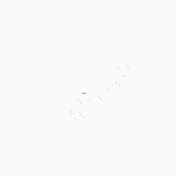 Cc1nc(-c2cc(C3=CCCN([S+]([O-])N(O)c4ccccc4)C3)ccn2)[nH]c1C